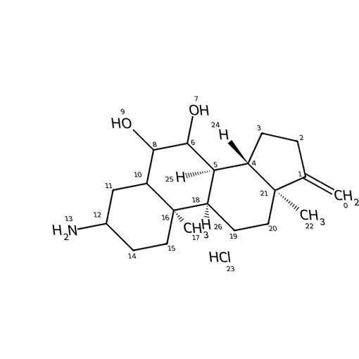 C=C1CC[C@H]2[C@@H]3C(O)C(O)C4CC(N)CC[C@]4(C)[C@@H]3CC[C@]12C.Cl